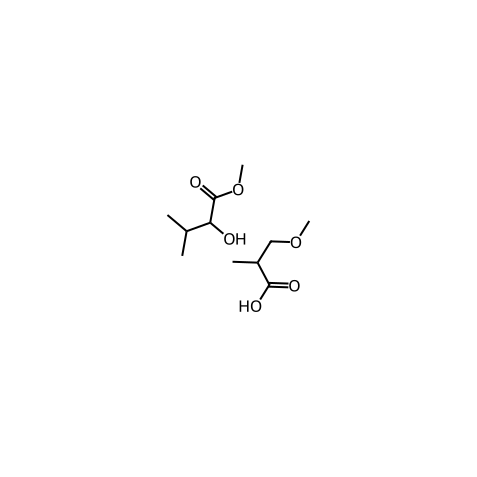 COC(=O)C(O)C(C)C.COCC(C)C(=O)O